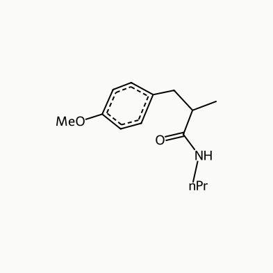 CCCNC(=O)C(C)Cc1ccc(OC)cc1